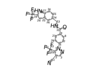 N#Cc1cnn(-c2ccc(C(=O)NCc3ccc4[nH]c(C(F)(F)F)cc4c3)cc2)c1C(F)(F)F